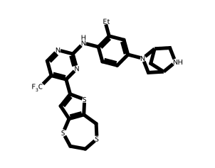 CCc1cc(N2CC3CC2CN3)ccc1Nc1ncc(C(F)(F)F)c(-c2cc3c(s2)CSCCS3)n1